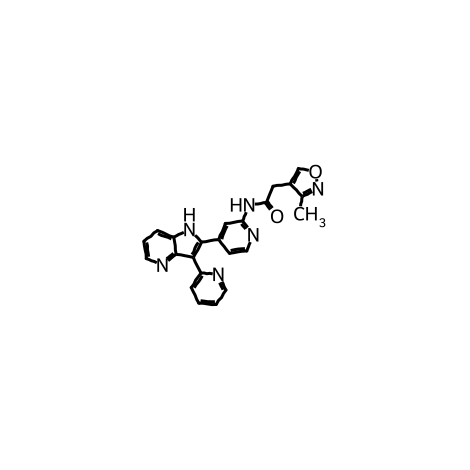 Cc1nocc1CC(=O)Nc1cc(-c2[nH]c3cccnc3c2-c2ccccn2)ccn1